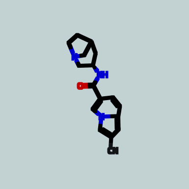 N#Cc1cc2ccc(C(=O)N[C@@H]3CC4CCN(C4)C3)cn2c1